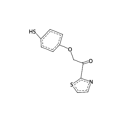 O=C(COc1ccc(S)cc1)c1nccs1